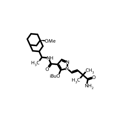 CO[C@@]12CCCC(CC(C(C)NC(=O)c3cnn(/C=C/C(C)(C)C(N)=O)c3OCC(C)C)C1)C2